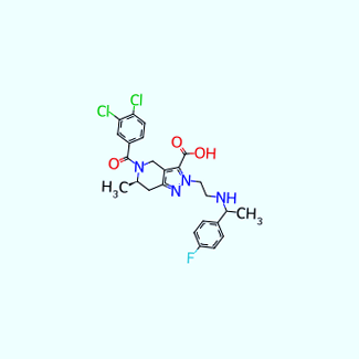 CC(NCCn1nc2c(c1C(=O)O)CN(C(=O)c1ccc(Cl)c(Cl)c1)[C@H](C)C2)c1ccc(F)cc1